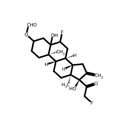 C=C1C[C@H]2[C@@H]3CC(F)C4(O)CC(OC=O)CC[C@]4(C)[C@H]3CC[C@]2(C)[C@@]1(O)C(=O)CF